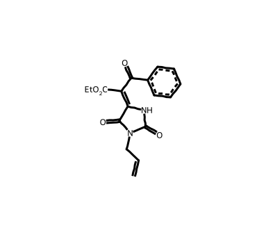 C=CCN1C(=O)NC(=C(C(=O)OCC)C(=O)c2ccccc2)C1=O